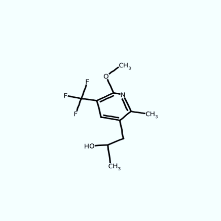 COc1nc(C)c(CC(C)O)cc1C(F)(F)F